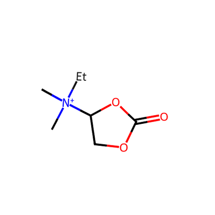 CC[N+](C)(C)C1COC(=O)O1